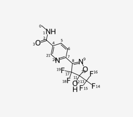 CNC(=O)c1ccc(C2=NOC(O)(C(F)(F)F)C2(F)F)nc1